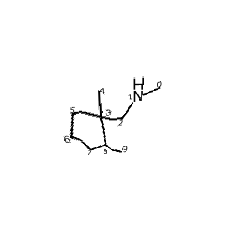 CNCC1(C)CCCC1C